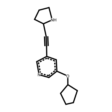 C(#CC1CCCN1)c1cncc(OC2CCCC2)c1